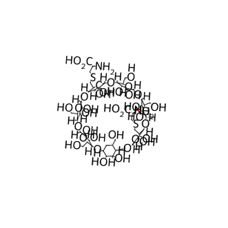 N[C@H](CSCC1O[C@H]2O[C@@H]3C(CO)C[C@H](O[C@@H]4C(CO)O[C@H](O[C@@H]5C(CO)O[C@H](O[C@@H]6C(CSC[C@@H](N)C(=O)O)C[C@H](O[C@@H]7C(CO)O[C@@H](O[C@@H]8C(CO)O[C@@H](O[C@H]1C(O)[C@@H]2O)[C@@H](O)C8O)[C@@H](O)C7O)C(O)[C@H]6O)C(O)[C@H]5O)[C@@H](O)C4O)C(O)[C@H]3O)C(=O)O